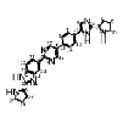 c1cc(-c2cnc([C@@H]3CCCN3)[nH]2)ccc1-c1cnc(-c2ccc3[nH]c([C@@H]4CCCN4)nc3c2)nc1